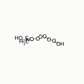 CN(C(=O)O)c1ccc(-c2ccc3cc(OCCOCCOCCO)ccc3c2)cc1